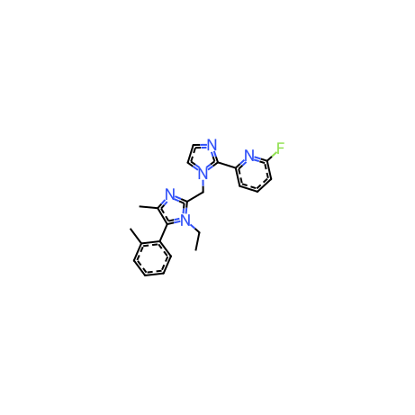 CCn1c(Cn2ccnc2-c2cccc(F)n2)nc(C)c1-c1ccccc1C